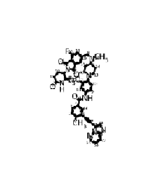 Cc1ccc(C(=O)Nc2ccc(N3CCC(N(C)Cc4cc(F)c5c(c4)C(=O)N(C4CCC(=O)NC4=O)C5=O)CC3)c(C(F)(F)F)c2)cc1C#Cc1cnc2cccnn12